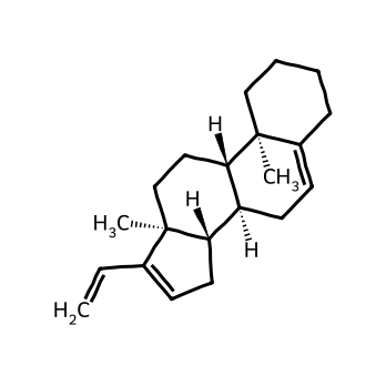 C=CC1=CC[C@H]2[C@@H]3CC=C4CCCC[C@]4(C)[C@H]3CC[C@]12C